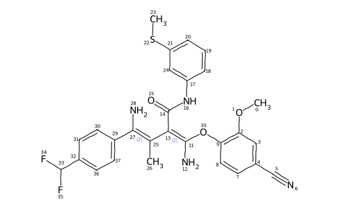 COc1cc(C#N)ccc1O/C(N)=C(C(=O)Nc1cccc(SC)c1)/C(C)=C(\N)c1ccc(C(F)F)cc1